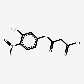 Cc1cc(OC(=O)CC(=O)O)ccc1[N+](=O)[O-]